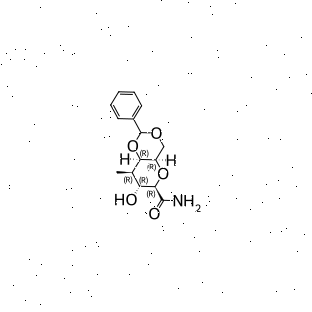 C[C@@H]1[C@@H](O)[C@H](C(N)=O)O[C@@H]2COC(c3ccccc3)O[C@H]12